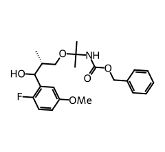 COc1ccc(F)c(C(O)[C@H](C)COC(C)(C)NC(=O)OCc2ccccc2)c1